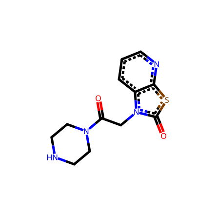 O=C(Cn1c(=O)sc2ncccc21)N1CCNCC1